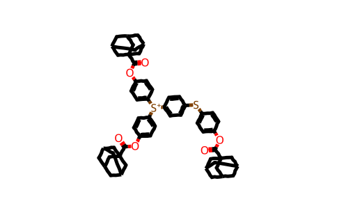 O=C(Oc1ccc(Sc2ccc([S+](c3ccc(OC(=O)C45CC6CC(CC(C6)C4)C5)cc3)c3ccc(OC(=O)C45CC6CC(CC(C6)C4)C5)cc3)cc2)cc1)C12CC3CC(CC(C3)C1)C2